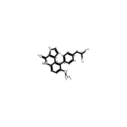 COc1ccc2[nH]c(=O)c3sccc3c2c1-c1ccc(CC(F)F)cc1